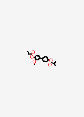 C=C(C)C(=O)Oc1ccc(-c2ccc(OC(=O)CC)c(OC)c2)cc1